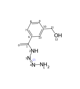 C=C(N/N=N\N)c1cccc(CO)c1